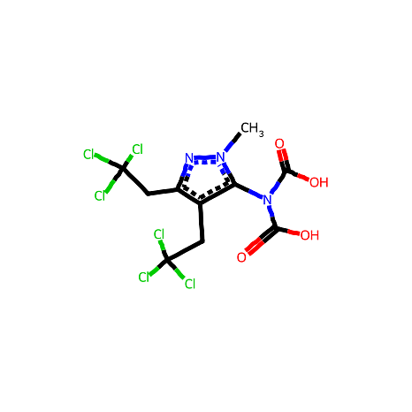 Cn1nc(CC(Cl)(Cl)Cl)c(CC(Cl)(Cl)Cl)c1N(C(=O)O)C(=O)O